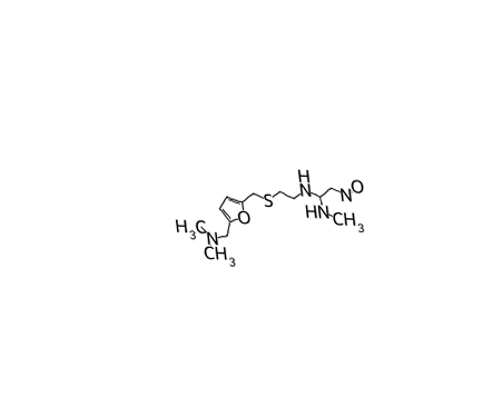 CNC(CN=O)NCCSCc1ccc(CN(C)C)o1